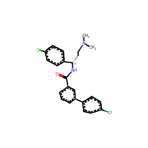 CN(C)CC[C@H](NC(=O)c1cccc(-c2ccc(Cl)cc2)c1)c1ccc(Cl)cc1